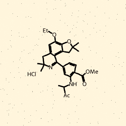 CCOc1cc2c(c3c1OC(C)(C)C3)C(c1ccc(C(=O)OC)c(NC(C)C(C)=O)c1)=NC(C)(C)C2.Cl